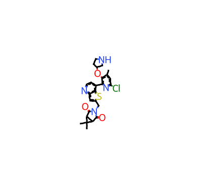 Cc1cc(Cl)nc(-c2ccnc3cc(CN4C(=O)C5C(C4=O)C5(C)C)sc23)c1OC1CCNC1